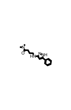 CN(C)C(=O)CCCNc1cc(-c2ccccc2)[nH]n1